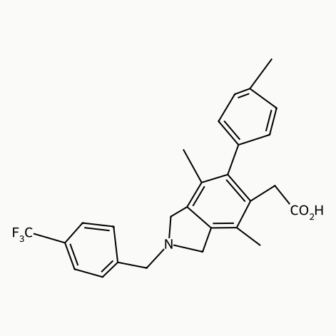 Cc1ccc(-c2c(C)c3c(c(C)c2CC(=O)O)CN(Cc2ccc(C(F)(F)F)cc2)C3)cc1